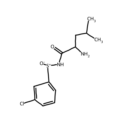 CC(C)CC(N)C(=O)N[S+]([O-])c1cccc(Cl)c1